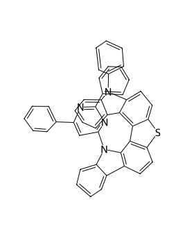 c1ccc(-c2cc(-n3c4ccccc4c4ccc5sc6ccc7c(c8ccccc8n7-c7ccccc7)c6c5c43)nc(-c3ccccc3)n2)cc1